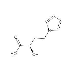 O=C(O)[C@H](O)CCn1cccn1